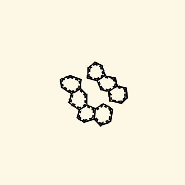 c1ccc2cc3c(ccc4ccccc43)cc2c1.c1ccc2cc3ccccc3cc2c1